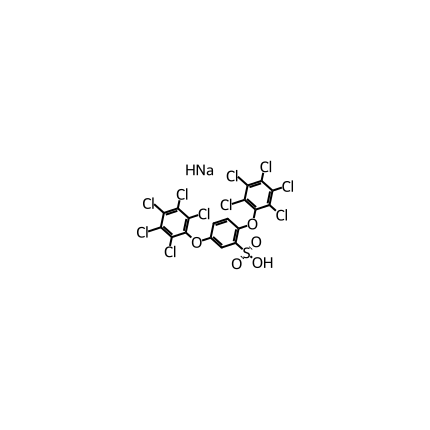 O=S(=O)(O)c1cc(Oc2c(Cl)c(Cl)c(Cl)c(Cl)c2Cl)ccc1Oc1c(Cl)c(Cl)c(Cl)c(Cl)c1Cl.[NaH]